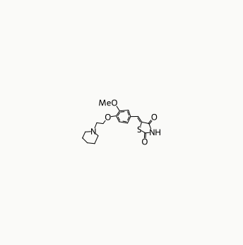 COc1cc(/C=C2\SC(=O)NC2=O)ccc1OCCN1CCCCC1